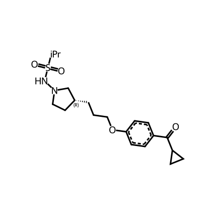 CC(C)S(=O)(=O)NN1CC[C@@H](CCCOc2ccc(C(=O)C3CC3)cc2)C1